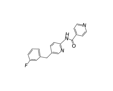 O=C(Nc1ccc(Cc2cccc(F)c2)cn1)c1ccncc1